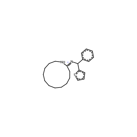 c1ccc(C(/N=C2\CCCCCCCCCCCN2)c2cccs2)cc1